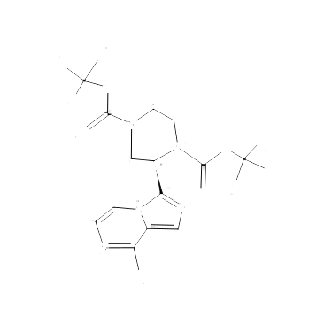 CC(C)(C)OC(=O)N1CCN(C(=O)OC(C)(C)C)[C@@H](c2ncc3c(Cl)nccn23)C1